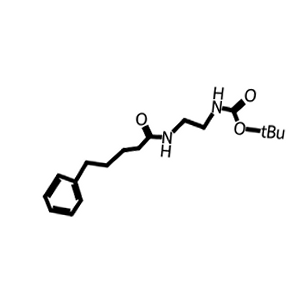 CC(C)(C)OC(=O)NCCNC(=O)CCCCc1ccccc1